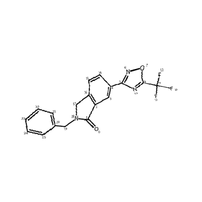 O=C1c2cc(-c3noc(C(F)(F)F)n3)ccc2CN1Cc1ccccc1